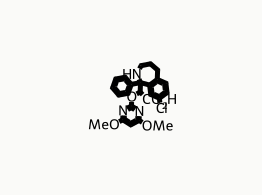 COc1cc(OC)nc(OC(C(=O)O)C2(c3ccccc3)NCCCc3ccc(Cl)cc32)n1